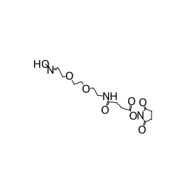 O=C(CCC(=O)ON1C(=O)CCC1=O)NCCOCCOC/C=N/O